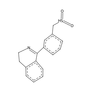 O=[SH](=O)Cc1cccc(C2=NCCc3ccccc32)c1